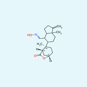 C=C1CCC2C(C=NO)C([C@@]3(C)CC[C@H]4C[C@@H]3C(=O)O4)CCC12C